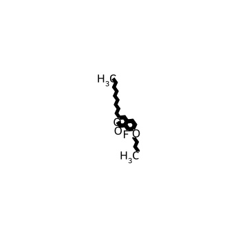 CCCCCCCCCc1cc2ccc(OCCCCC)c(F)c2c(=O)o1